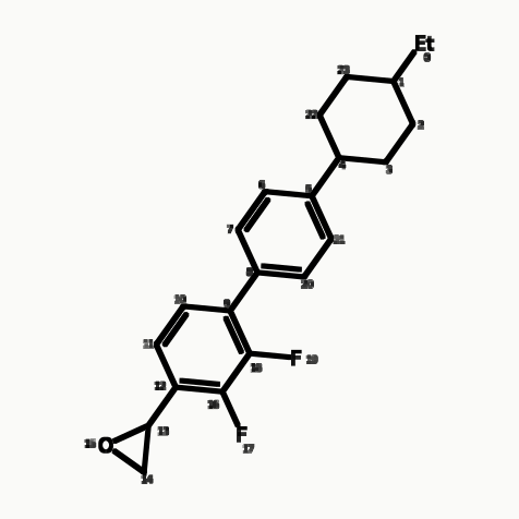 CCC1CCC(c2ccc(-c3ccc(C4CO4)c(F)c3F)cc2)CC1